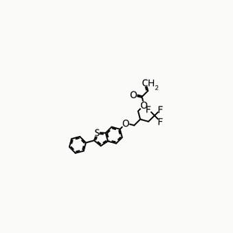 C=CC(=O)OCC(COc1ccc2cc(-c3ccccc3)sc2c1)CC(F)(F)F